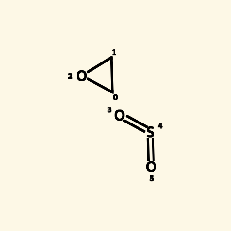 C1CO1.O=S=O